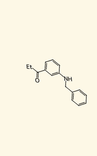 CCC(=O)c1cccc(NCc2ccccc2)c1